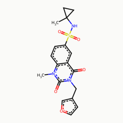 Cn1c(=O)n(Cc2ccoc2)c(=O)c2cc(S(=O)(=O)NC3(C)CC3)ccc21